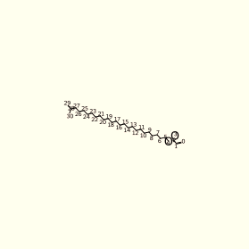 C=CC(=O)OCCCCCCCCCCCCCCCCCCCCCCCC(C)C